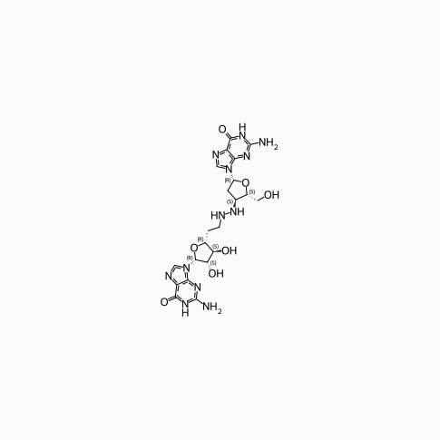 Nc1nc2c(ncn2[C@@H]2O[C@H](CCNN[C@H]3C[C@H](n4cnc5c(=O)[nH]c(N)nc54)O[C@@H]3CO)[C@@H](O)[C@@H]2O)c(=O)[nH]1